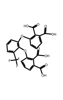 O=C(O)c1cccc(Oc2cccc(C(F)(F)F)c2Oc2cccc(C(=O)O)c2C(=O)O)c1C(=O)O